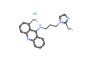 Cl.O=[N+]([O-])c1cccc2nc3ccccc3c(NCCCn3ccnc3[N+](=O)[O-])c12